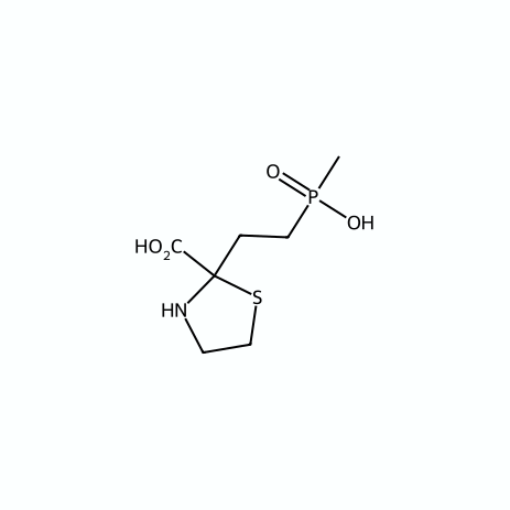 CP(=O)(O)CCC1(C(=O)O)NCCS1